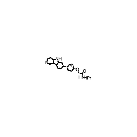 CC(C)NC(=O)COc1ccc(-c2ccc3c(c2)[nH]c2ccncc23)cn1